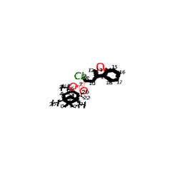 CC1(C)[C@@H]2C[C@H]3OB(C(Cl)Cc4coc5ccccc45)O[C@@]3(C)[C@H]1C2